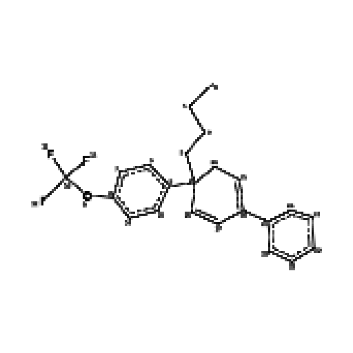 CCCCC1(c2ccc(OC(F)(F)F)cc2)C=CC(c2ccccc2)=CC1